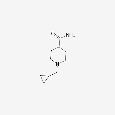 NC(=O)C1CCN(CC2CC2)CC1